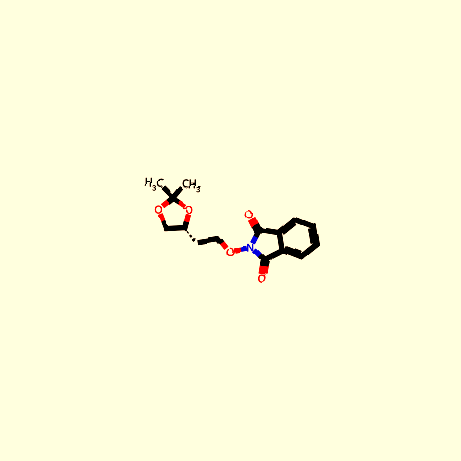 CC1(C)OC[C@@H](CCON2C(=O)c3ccccc3C2=O)O1